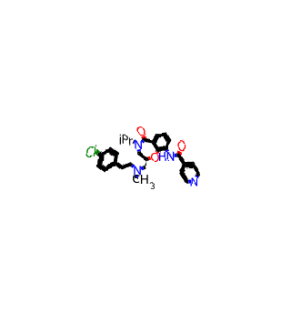 CC(C)N1C[C@@H](CN(C)CCc2ccc(Cl)cc2)Oc2c(NC(=O)c3ccncc3)cccc2C1=O